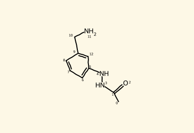 CC(=O)NNc1cccc(CN)c1